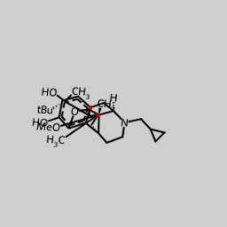 COC1(C)C[C@]23CCN(CC4CC4)[C@@H]4Cc5ccc(O)c(c52)OC([C@@H]1[C@](C)(O)C(C)(C)C)[C@]43C